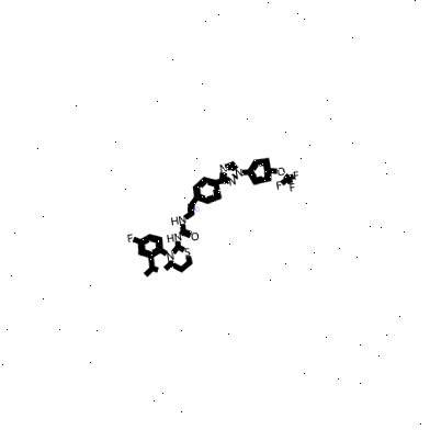 CC(C)c1cc(F)ccc1N1C(C)CCSC1NC(=O)N/C=C/c1ccc(-c2ncn(-c3ccc(OC(F)(F)F)cc3)n2)cc1